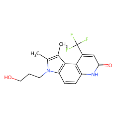 Cc1c(C)n(CCCO)c2ccc3[nH]c(=O)cc(C(F)(F)F)c3c12